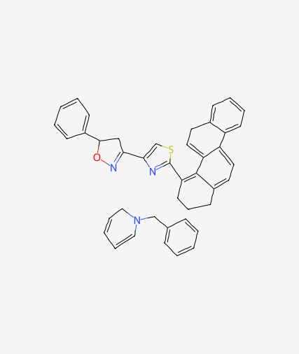 C1=CCN(Cc2ccccc2)C=C1.C1=c2c(ccc3c2=C(c2nc(C4=NOC(c5ccccc5)C4)cs2)CCC3)-c2ccccc2C1